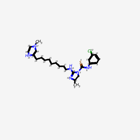 CC1CN(C(=S)Nc2cccc(Cl)c2)C(NCCCCCCCCCC2=CN(C)C=CN2)=N1